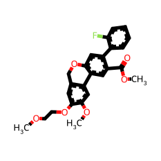 COCCOc1cc2c(cc1OC)-c1cc(C(=O)OC)c(-c3ccccc3F)cc1OC2